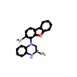 Cc1ccc2c(oc3ccccc32)c1N1C[C@@H](C)Nc2ccccc21